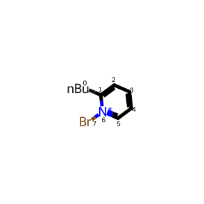 CCCCc1cccc[n+]1Br